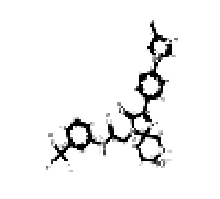 Cc1cn(-c2ccc(C3=NC4(CCCOC4)N(CC(=O)Nc4cccc(C(F)(F)F)c4)C3=O)cc2)cn1.Cl